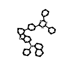 c1ccc(-c2nc(-c3ccccc3)nc(-c3ccc(-c4cccc5oc6cc(N(c7ccccc7)c7cccc8ccccc78)ccc6c45)cc3)n2)cc1